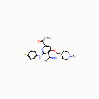 COC(=O)c1cc(OCC2CCN(C(C)=O)CC2)c(C(=N)C(C)C)c(Nc2ccc(F)cc2)n1